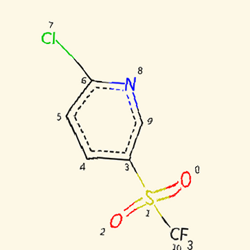 O=S(=O)(c1ccc(Cl)nc1)C(F)(F)F